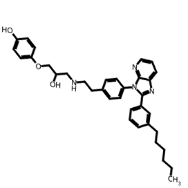 CCCCCCc1cccc(-c2nc3cccnc3n2-c2ccc(CCNCC(O)COc3ccc(O)cc3)cc2)c1